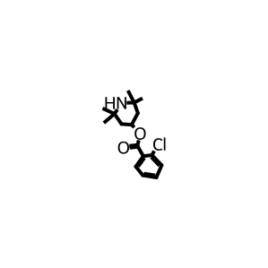 CC1(C)CC(OC(=O)c2ccccc2Cl)CC(C)(C)N1